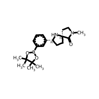 CN1CC[C@@]2(CC[C@H](c3cccc(B4OC(C)(C)C(C)(C)O4)c3)N2)C1=O